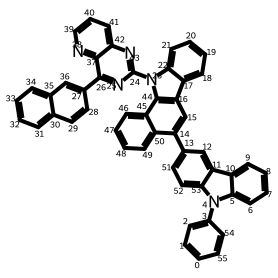 c1ccc(-n2c3ccccc3c3cc(-c4cc5c6ccccc6n(-c6nc(-c7ccc8ccccc8c7)c7ncccc7n6)c5c5ccccc45)ccc32)cc1